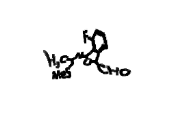 CSCC(C)N=C1OC(C=O)c2cccc(F)c21